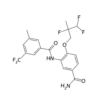 Cc1cc(C(=O)Nc2cc(C(N)=O)ccc2OCC(C)(F)C(F)F)cc(C(F)(F)F)c1